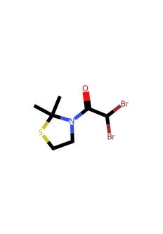 CC1(C)SCCN1C(=O)C(Br)Br